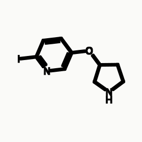 Ic1ccc(OC2CCNC2)cn1